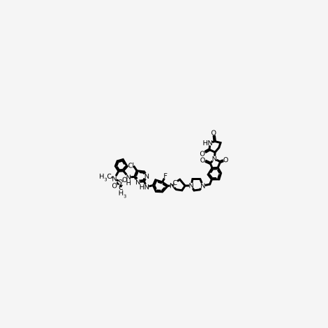 CN(c1ccccc1Nc1nc(Nc2ccc(N3CCC(N4CCN(Cc5ccc6c(c5)C(=O)N(C5CCC(=O)NC5=O)C6=O)CC4)CC3)c(F)c2)ncc1Cl)S(C)(=O)=O